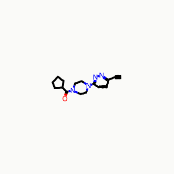 C#Cc1ccc(N2CCN(C(=O)C3CCCC3)CC2)nn1